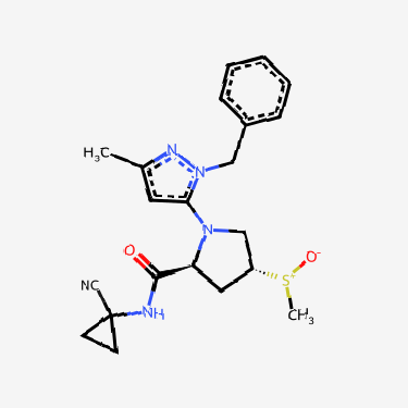 Cc1cc(N2C[C@H]([S+](C)[O-])C[C@H]2C(=O)NC2(C#N)CC2)n(Cc2ccccc2)n1